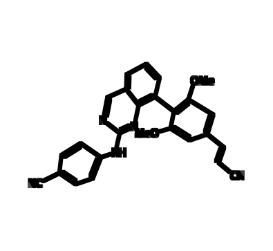 COc1cc(C=CC#N)cc(OC)c1-c1cccc2cnc(Nc3ccc(C#N)cc3)nc12